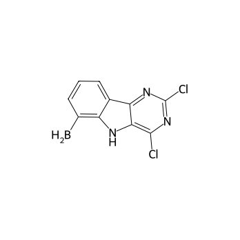 Bc1cccc2c1[nH]c1c(Cl)nc(Cl)nc12